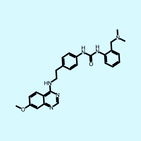 COc1ccc2c(NCCc3ccc(NC(=O)Nc4ccccc4CN(C)C)cc3)ncnc2c1